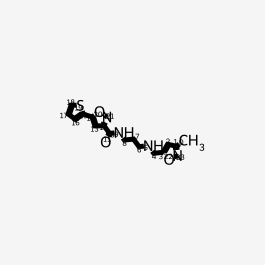 Cc1cc(CNCCCNC(=O)c2cc(-c3cccs3)on2)on1